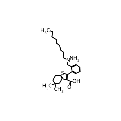 CCCCCCCCCN(N)Cc1ccccc1-c1sc2c(c1C(=O)O)CC(C)(C)CC2